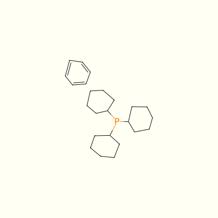 C1CCC(P(C2CCCCC2)C2CCCCC2)CC1.c1ccccc1